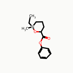 CC[Si]1(C)CCCC(C(=O)Oc2ccccc2)O1